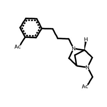 CC(=O)CN1C[C@@H]2CC1CN2CCCc1cccc(C(C)=O)c1